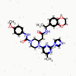 COc1ccc(NC(=O)N2CCN(c3cc(C)nc(-n4ccnc4)n3)C(CC(=O)NC(C)c3ccc4c(c3)OCCO4)C2)cc1